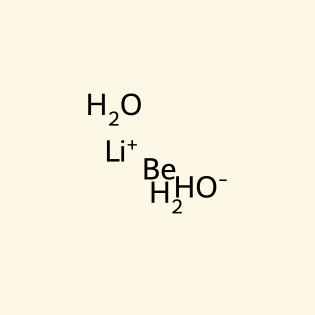 O.[BeH2].[Li+].[OH-]